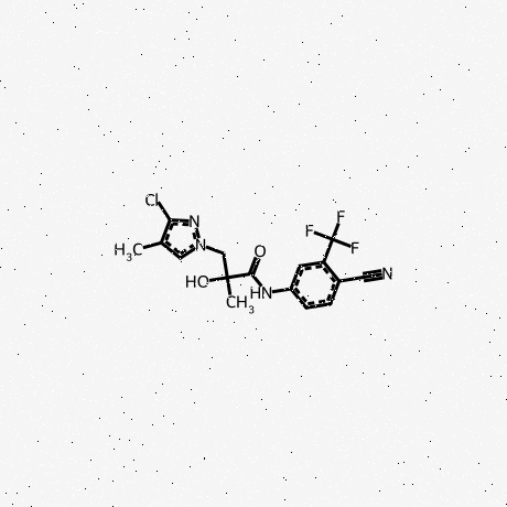 Cc1cn(CC(C)(O)C(=O)Nc2ccc(C#N)c(C(F)(F)F)c2)nc1Cl